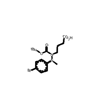 CN(c1ccc(Br)cc1)N(CCCC(=O)O)C(=O)OC(C)(C)C